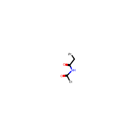 CCC(=O)NC(=O)CC(C)C